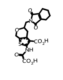 O=C(O)C(=O)Nc1sc2c(c1C(=O)O)CC(CN1C(=O)C3=C(CCCC3)C1=O)OC2